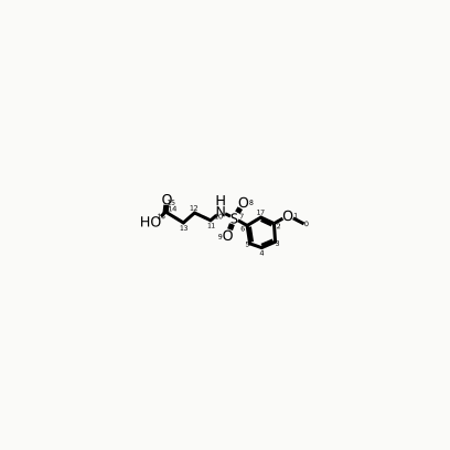 COc1cccc(S(=O)(=O)NCCCC(=O)O)c1